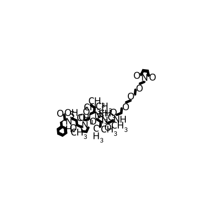 CC[C@H](C)[C@@H]([C@@H](CC(=O)N1CCC[C@H]1[C@H](OC)[C@@H](C)C(=S)N[C@@H](Cc1ccccc1)C(=O)O)OC)N(C)C(=O)[C@@H](NC(=O)C(C)(C)NC(=O)CCOCCOCCOCCN1C(=O)C=CC1=O)C(C)C